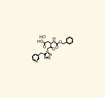 Cl.O=C(O)CC(NC(=O)OCc1ccccc1)C(=O)Cn1nnnc1Cc1cccnc1